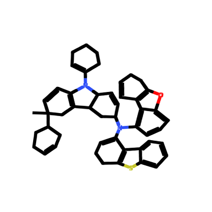 CC1(C2CC=CCC2)C=CC2=C(C1)C1CC(N(C3=CCCc4sc5ccccc5c43)c3cccc4oc5c(c34)C=CCC5)C=CC1N2C1=CCCCC1